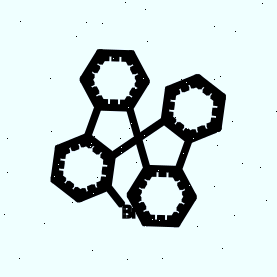 Brc1cccc2c1C1(c3ccccc3-c3ccccc31)c1ccccc1-2